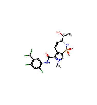 C[C@H](O)[C@H]1C=Cc2c(cn(C)c2C(=O)Nc2cc(C(F)F)c(F)cc2F)S(=O)(=O)N1